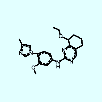 CCOC1CCCc2cnc(Nc3ccc(-n4cnc(C)c4)c(OC)c3)nc21